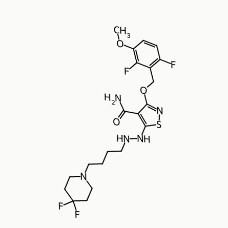 COc1ccc(F)c(COc2nsc(NNCCCCN3CCC(F)(F)CC3)c2C(N)=O)c1F